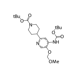 COCOc1cnc(C2CCN(C(=O)OC(C)(C)C)CC2)cc1NC(=O)OC(C)(C)C